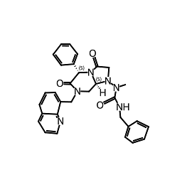 CN(C(=O)NCc1ccccc1)N1CC(=O)N2[C@@H](c3ccccc3)C(=O)N(Cc3cccc4cccnc34)C[C@@H]21